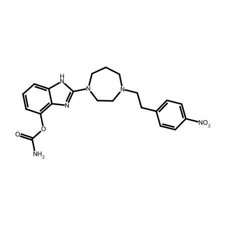 NC(=O)Oc1cccc2[nH]c(N3CCCN(CCc4ccc([N+](=O)[O-])cc4)CC3)nc12